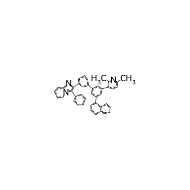 Cc1ccc(-c2cc(-c3cccc(-c4nc5ccccn5c4-c4ccccc4)c3)cc(-c3cccc4ccccc34)c2)c(C)n1